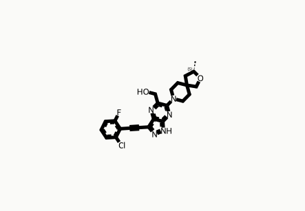 C[C@H]1CC2(CCN(c3nc4[nH]nc(C#Cc5c(F)cccc5Cl)c4nc3CO)CC2)CO1